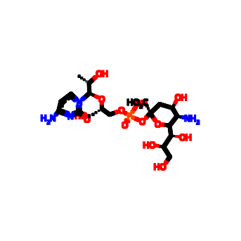 C[C@H](O)[C@@H](O[C@@H](CO)COP(=O)(O)O[C@@]1(C(=O)O)C[C@@H](O)[C@@H](N)C([C@H](O)[C@H](O)CO)O1)n1ccc(N)nc1=O